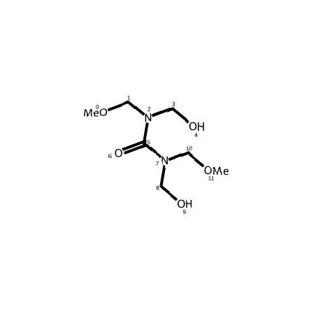 COCN(CO)C(=O)N(CO)COC